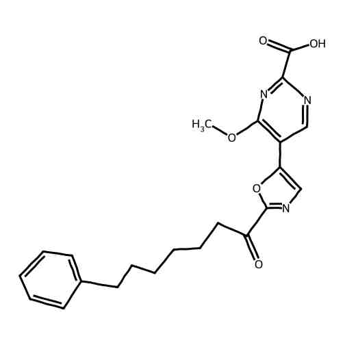 COc1nc(C(=O)O)ncc1-c1cnc(C(=O)CCCCCCc2ccccc2)o1